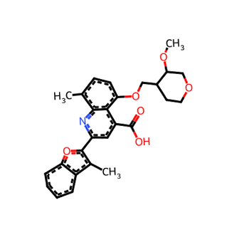 COC1COCCC1COc1ccc(C)c2nc(-c3oc4ccccc4c3C)cc(C(=O)O)c12